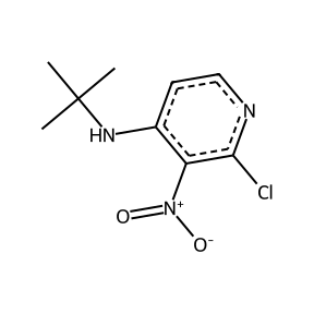 CC(C)(C)Nc1ccnc(Cl)c1[N+](=O)[O-]